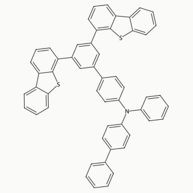 c1ccc(-c2ccc(N(c3ccccc3)c3ccc(-c4cc(-c5cccc6c5sc5ccccc56)cc(-c5cccc6c5sc5ccccc56)c4)cc3)cc2)cc1